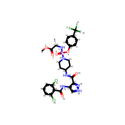 COC(=O)[C@H](C)NP(=O)(Oc1ccc(C(F)(F)F)cc1)N1CCC(NC(=O)c2n[nH]cc2NC(=O)c2c(Cl)cccc2Cl)CC1